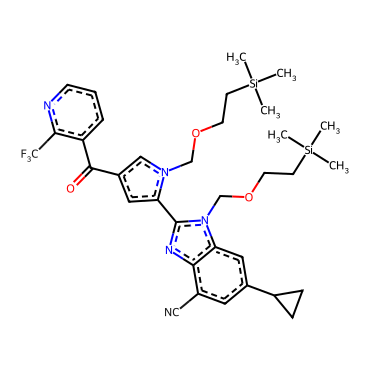 C[Si](C)(C)CCOCn1cc(C(=O)c2cccnc2C(F)(F)F)cc1-c1nc2c(C#N)cc(C3CC3)cc2n1COCC[Si](C)(C)C